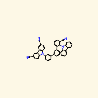 N#Cc1ccc2c(c1)c1cc(C#N)ccc1n2-c1cccc(-c2cccc(-c3cccc(C#N)c3-n3c4ccccc4c4ccccc43)c2)c1